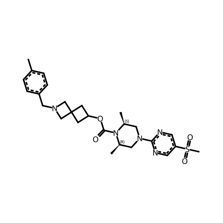 Cc1ccc(CN2CC3(CC(OC(=O)N4[C@H](C)CN(c5ncc(S(C)(=O)=O)cn5)C[C@@H]4C)C3)C2)cc1